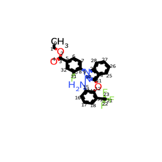 CCOC(=O)c1ccc(-n2nc(Oc3c(N)cccc3C(F)(F)F)c3ccccc32)c(F)c1